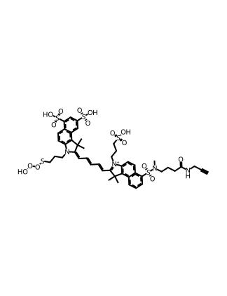 C#CCNC(=O)CCCN(C)S(=O)(=O)c1cccc2c3c(ccc12)[N+](CCCS(=O)(=O)O)=C(/C=C/C=C/C=C1/N(CCCSOOO)c2ccc4c(S(=O)(=O)O)cc(S(=O)(=O)O)cc4c2C1(C)C)C3(C)C